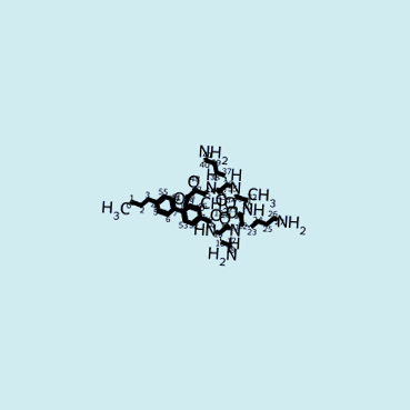 CCCCc1ccc(-c2ccc(C(=O)N[C@@H](CCN)C(=O)N[C@@H](CCCCN)C(=O)N[C@@H](C)C(=O)N[C@@H](CCCCN)C(=O)N[C@@H](C)C(=O)C3CO3)cc2)cc1